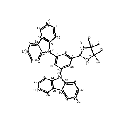 CC1(C)OB(c2cc(-n3c4ccncc4c4cnccc43)cc(-n3c4ccncc4c4cnccc43)c2)OC1(C)C